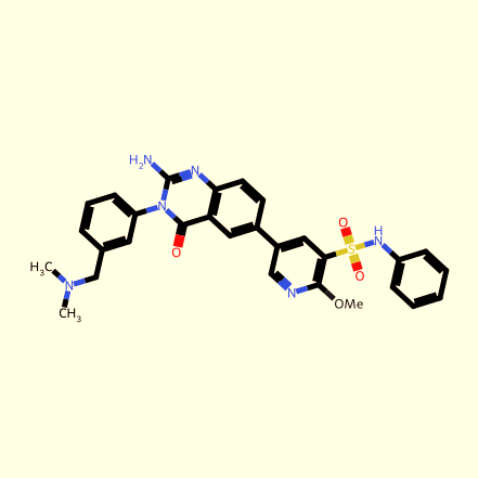 COc1ncc(-c2ccc3nc(N)n(-c4cccc(CN(C)C)c4)c(=O)c3c2)cc1S(=O)(=O)Nc1ccccc1